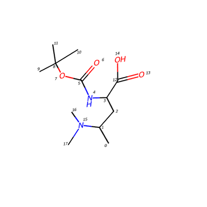 CC(CC(NC(=O)OC(C)(C)C)C(=O)O)N(C)C